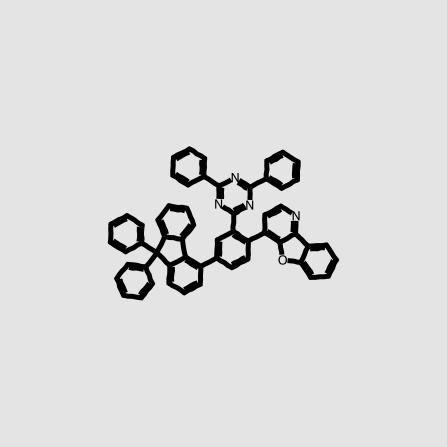 c1ccc(-c2nc(-c3ccccc3)nc(-c3cc(-c4cccc5c4-c4ccccc4C5(c4ccccc4)c4ccccc4)ccc3-c3ccnc4c3oc3ccccc34)n2)cc1